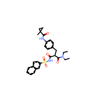 CCN(CC)C(=O)C(Cc1ccc(NC(=O)C2(C)CC2)cc1)C(=O)NS(=O)(=O)c1ccc2ccccc2c1